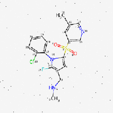 CNCc1cc(S(=O)(=O)c2cncc(C)c2)n(-c2ccccc2Cl)c1F